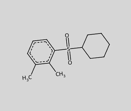 Cc1cccc(S(=O)(=O)C2CCCCC2)c1C